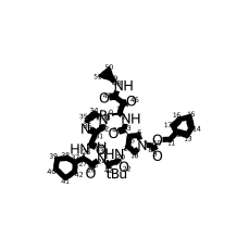 CCC[C@H](NC(=O)[C@@H]1CN(C(=O)OCc2ccccc2)C[C@@H]1NC(=O)C(NC(=O)[C@@H](NC(=O)c1cnccn1)C1CCCCC1)C(C)(C)C)C(=O)C(=O)NC1CC1